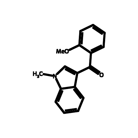 COc1ccccc1C(=O)c1cn(C)c2ccccc12